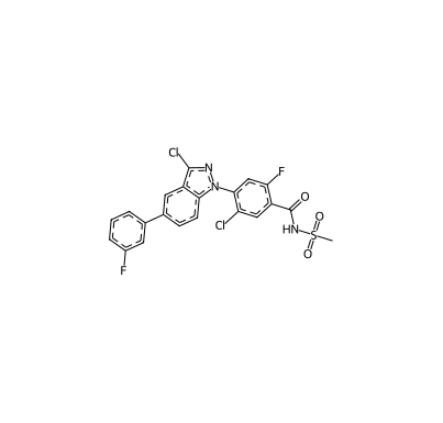 CS(=O)(=O)NC(=O)c1cc(Cl)c(-n2nc(Cl)c3cc(-c4cccc(F)c4)ccc32)cc1F